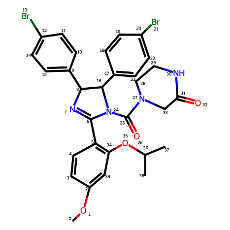 COc1ccc(C2=NC(c3ccc(Br)cc3)C(c3ccc(Br)cc3)N2C(=O)N2CCNC(=O)C2)c(OC(C)C)c1